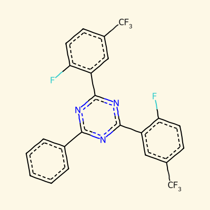 Fc1ccc(C(F)(F)F)cc1-c1nc(-c2ccccc2)nc(-c2cc(C(F)(F)F)ccc2F)n1